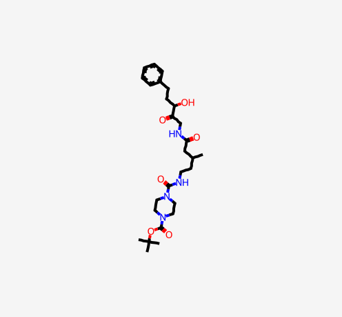 CC(CCNC(=O)N1CCN(C(=O)OC(C)(C)C)CC1)CC(=O)NCC(=O)C(O)CCc1ccccc1